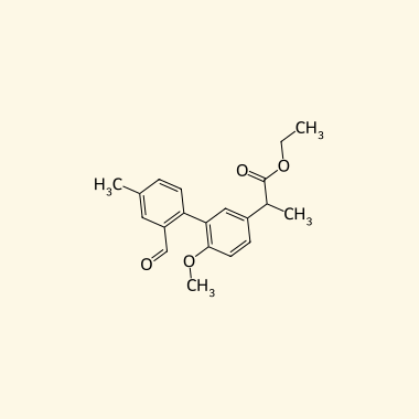 CCOC(=O)C(C)c1ccc(OC)c(-c2ccc(C)cc2C=O)c1